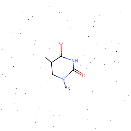 CC(=O)N1CC(C)C(=O)NC1=O